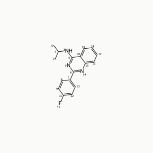 CC(C)Nc1nc(-c2ccc(F)cc2)nc2ccccc12